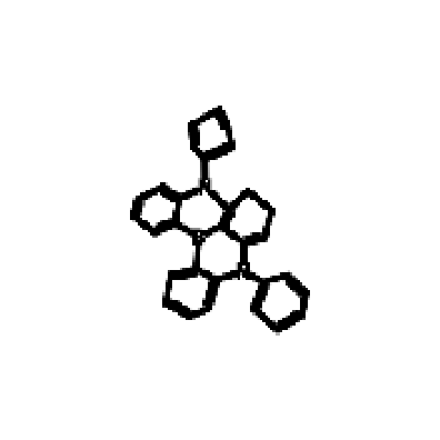 C1=C2C3=C(CC1)N(c1ccccc1)c1ccccc1B3c1ccccc1N2c1ccccc1